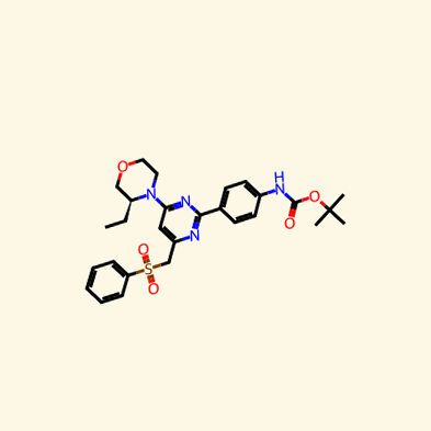 CC[C@H]1COCCN1c1cc(CS(=O)(=O)c2ccccc2)nc(-c2ccc(NC(=O)OC(C)(C)C)cc2)n1